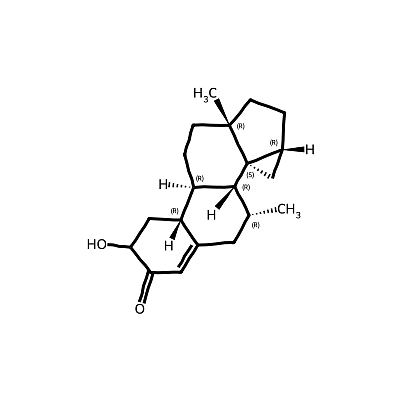 C[C@@H]1CC2=CC(=O)C(O)C[C@@H]2[C@H]2CC[C@]3(C)CC[C@@H]4C[C@@]43[C@@H]21